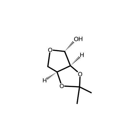 CC1(C)O[C@H]2[C@H](CO[C@@H]2O)O1